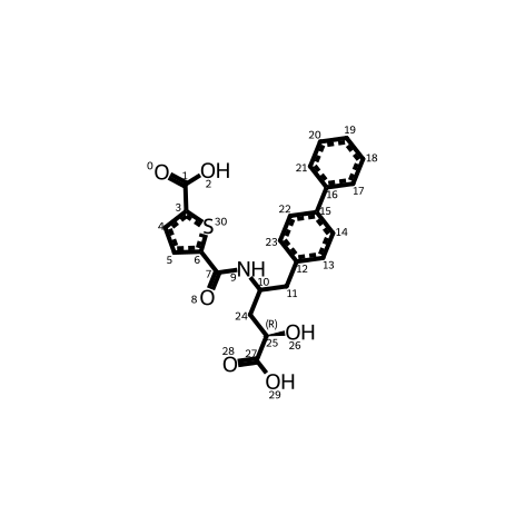 O=C(O)c1ccc(C(=O)NC(Cc2ccc(-c3ccccc3)cc2)C[C@@H](O)C(=O)O)s1